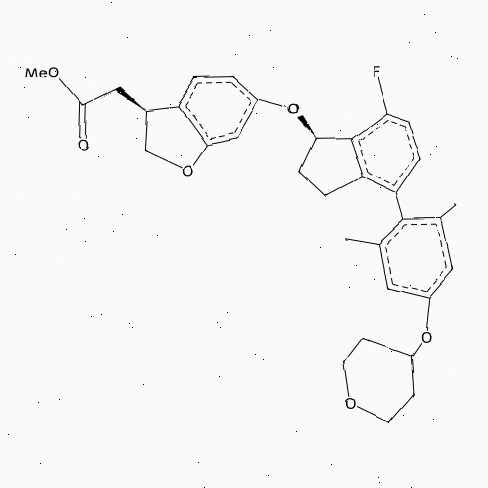 COC(=O)C[C@@H]1COc2cc(O[C@@H]3CCc4c(-c5c(C)cc(OC6CCOCC6)cc5C)ccc(F)c43)ccc21